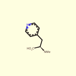 CN[C@H](Cc1ccncc1)C(=O)O